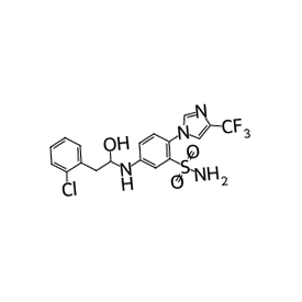 NS(=O)(=O)c1cc(NC(O)Cc2ccccc2Cl)ccc1-n1cnc(C(F)(F)F)c1